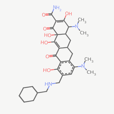 CN(C)c1cc(CNCC2CCCCC2)c(O)c2c1CC1CC3C(N(C)C)C(O)=C(C(N)=O)C(=O)C3(O)C(O)=C1C2=O